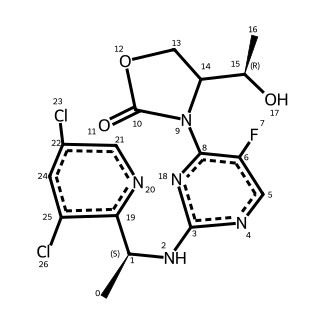 C[C@H](Nc1ncc(F)c(N2C(=O)OCC2[C@@H](C)O)n1)c1ncc(Cl)cc1Cl